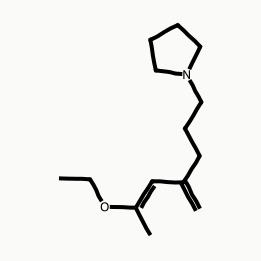 C=C(/C=C(\C)OCC)CCCN1CCCC1